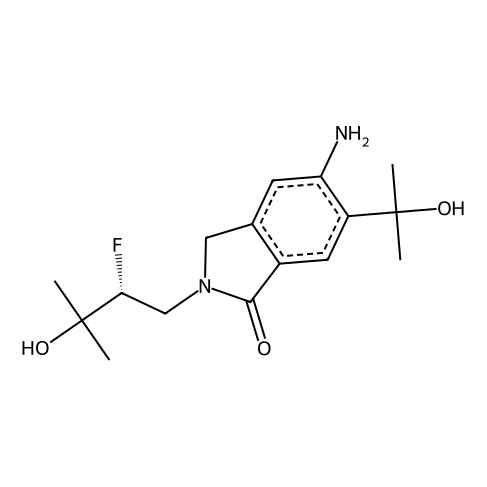 CC(C)(O)c1cc2c(cc1N)CN(C[C@@H](F)C(C)(C)O)C2=O